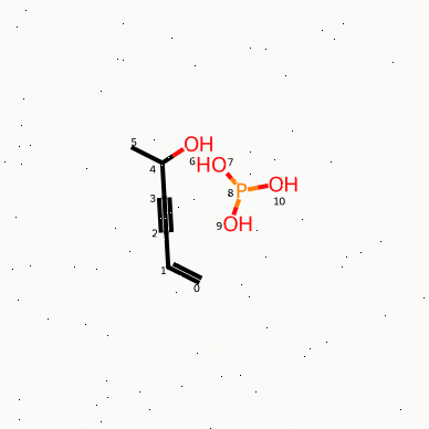 C=CC#CC(C)O.OP(O)O